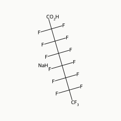 O=C(O)C(F)(F)C(F)(F)C(F)(F)C(F)(F)C(F)(F)C(F)(F)C(F)(F)F.[NaH]